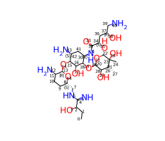 CCC(O)C(=N)NC[C@@H]1CCC(N)[C@@H](OC2C(O)C(O[C@H]3OCC(C)(O)[C@H](C)C3O)[C@H](NC(=O)[C@@H](O)C[C@@H](O)CN)C[C@@H]2N)O1